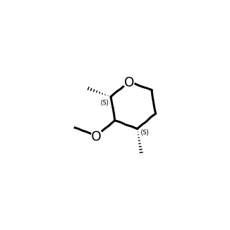 COC1[C@H](C)OCC[C@@H]1C